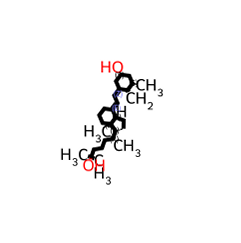 C=C1/C(=C\C=C2/CCC[C@]3(C)[C@@H]([C@H](C)CCCC(C)(C)O)CC[C@@H]23)C[C@@H](O)C[C@@H]1C